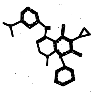 CN(C)c1cccc(NC2=CCN(C)c3c2c(=O)n(C2CC2)c(=O)n3-c2ccccc2)c1